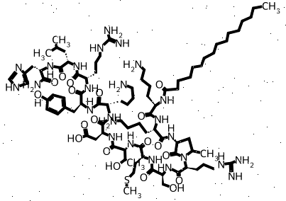 CCCCCCCCCCCCCCCC(=O)N[C@H](CCCCN)C(=O)N[C@@H](CCCCN)C(=O)N[C@H]1CC(C)N([C@@H](CCCNC(=N)N)C(=O)N[C@@H](CO)C(=O)N[C@@H](CCSC)C(=O)N[C@H](C(=O)N[C@@H](CC(=O)O)C(=O)N[C@@H](CCCCN)C(=O)N[C@@H](Cc2ccc(O)cc2)C(=O)N[C@@H](CCCNC(=N)N)C(=O)N[C@@H](CC(C)C)C(=O)N[C@@H](Cc2c[nH]cn2)C(N)=O)[C@@H](C)O)C1=O